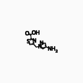 Nc1cnn(Cc2csc(C(=O)O)n2)c1